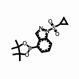 CC1(C)OB(c2cccc3c2cnn3S(=O)(=O)C2CC2)OC1(C)C